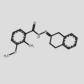 COc1cccc(C(=O)N/N=C2\CCc3ccccc3C2)c1C